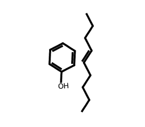 CCCC=CCCCC.Oc1ccccc1